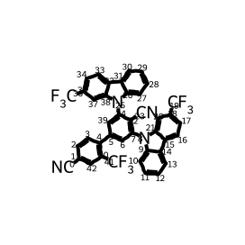 N#Cc1ccc(-c2cc(-n3c4ccccc4c4ccc(C(F)(F)F)cc43)c(C#N)c(-n3c4ccccc4c4ccc(C(F)(F)F)cc43)c2)c(C(F)(F)F)c1